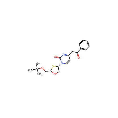 CC(C)(C)[Si](C)(C)OC[C@H]1OC[C@@H](n2ccc(CC(=O)c3ccccc3)nc2=O)S1